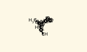 C#Cc1ccc(NC(=O)N2C[C@H](OCC)C[C@H]2C(=O)Nc2ccc(N3CCOCC3=O)c(F)c2)cc1